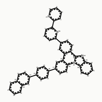 c1ccc(-c2cccc(-c3ccc4c(c3)c3cc(-c5ccc(-c6ccc7ccccc7c6)cc5)ccc3n3c5ccccc5nc43)n2)nc1